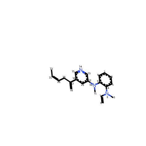 C=CN(C)c1ccccc1N(C)c1cncc(C(=C)C/C=C\C)c1